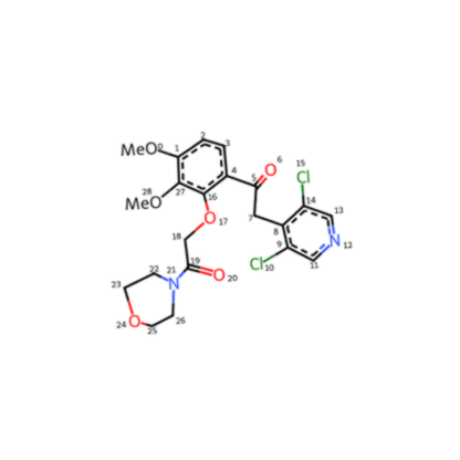 COc1ccc(C(=O)Cc2c(Cl)cncc2Cl)c(OCC(=O)N2CCOCC2)c1OC